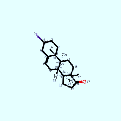 C[C@]12CCC(I)CC1=CC[C@H]1[C@@H]3CCC(=O)[C@@]3(C)CC[C@@]12C